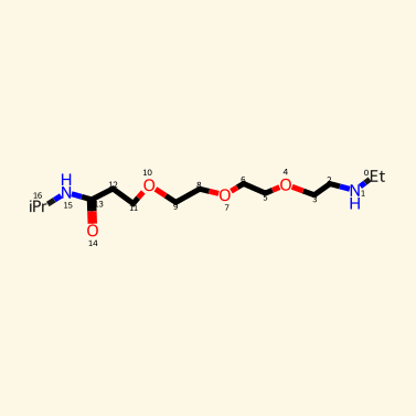 CCNCCOCCOCCOCCC(=O)NC(C)C